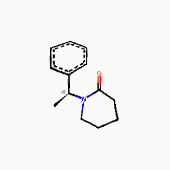 C[C@@H](c1ccccc1)N1CCCCC1=O